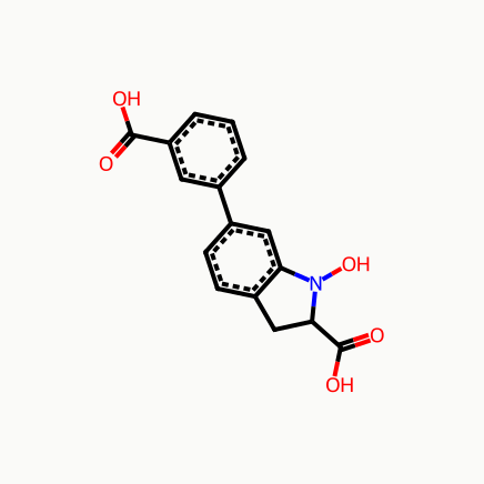 O=C(O)c1cccc(-c2ccc3c(c2)N(O)C(C(=O)O)C3)c1